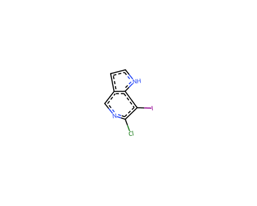 Clc1ncc2cc[nH]c2c1I